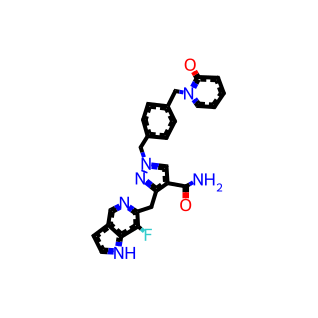 NC(=O)c1cn(Cc2ccc(Cn3ccccc3=O)cc2)nc1Cc1ncc2cc[nH]c2c1F